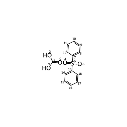 O=C(O)O.O=S(=O)(c1ccccc1)c1ccccc1